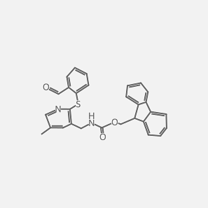 Cc1cnc(Sc2ccccc2C=O)c(CNC(=O)OCC2c3ccccc3-c3ccccc32)c1